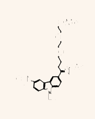 CCn1c2ccc(/C(CCCOCCOCCOC)=N/OC(C)=O)cc2c2cc([N+](=O)[O-])ccc21